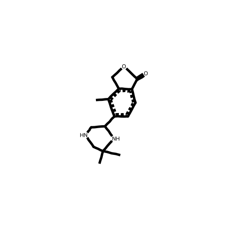 Cc1c(C2CNCC(C)(C)N2)ccc2c1COC2=O